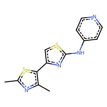 Cc1nc(C)c(-c2csc(Nc3ccncc3)n2)s1